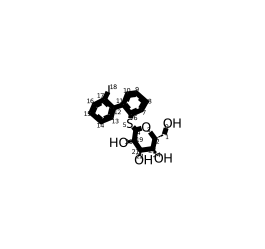 OC[C@H]1OC(Sc2ccccc2-c2ccccc2I)[C@H](O)[C@@H](O)[C@@H]1O